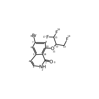 O=c1[nH]ccc2cc(Br)cc(OC(CF)C(F)F)c12